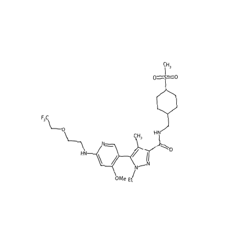 CCn1nc(C(=O)NCC2CCC(S(C)(=O)=O)CC2)c(C)c1-c1cnc(NCCOCC(F)(F)F)cc1OC